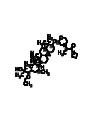 CCO[C@@H](C1C[C@@H](C)[C@H]2C(O1)[C@H](O)[C@@]1(C)C3CC[C@H]4C(C)(C)[C@@H](O[C@H]5CN([C@H](C)C(=O)N6CCC6)CCO5)CC[C@@]45CC35CC[C@]21C)C(C)(C)O